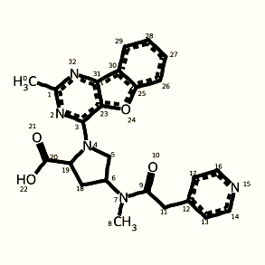 Cc1nc(N2CC(N(C)C(=O)Cc3ccncc3)CC2C(=O)O)c2oc3ccccc3c2n1